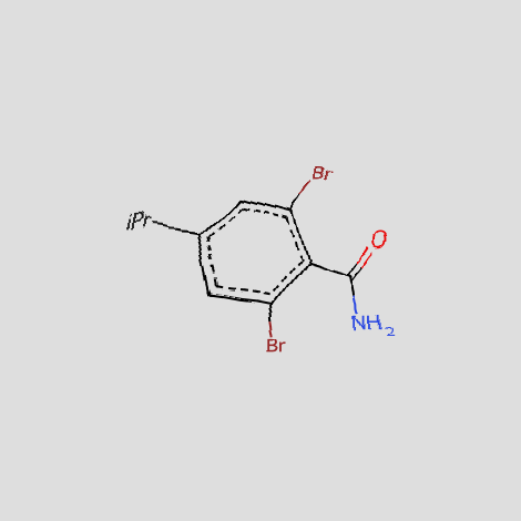 CC(C)c1cc(Br)c(C(N)=O)c(Br)c1